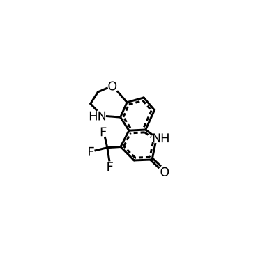 O=c1cc(C(F)(F)F)c2c3c(ccc2[nH]1)OCCN3